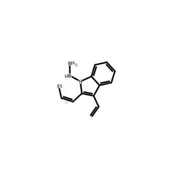 BBn1c(/C=C\CC)c(C=C)c2ccccc21